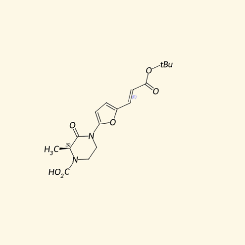 C[C@H]1C(=O)N(c2ccc(/C=C/C(=O)OC(C)(C)C)o2)CCN1C(=O)O